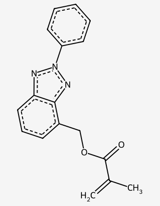 C=C(C)C(=O)OCc1cccc2nn(-c3ccccc3)nc12